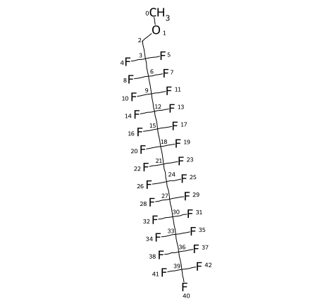 COCC(F)(F)C(F)(F)C(F)(F)C(F)(F)C(F)(F)C(F)(F)C(F)(F)C(F)(F)C(F)(F)C(F)(F)C(F)(F)C(F)(F)C(F)(F)F